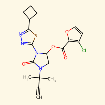 C#CC(C)(C)N1CC(OC(=O)c2occc2Cl)N(c2nnc(C3CCC3)s2)C1=O